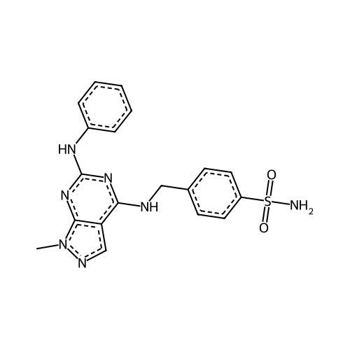 Cn1ncc2c(NCc3ccc(S(N)(=O)=O)cc3)nc(Nc3ccccc3)nc21